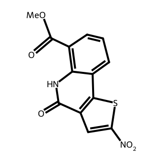 COC(=O)c1cccc2c1[nH]c(=O)c1cc([N+](=O)[O-])sc12